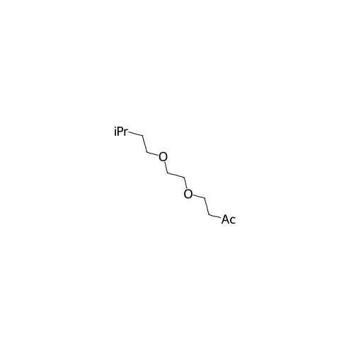 CC(=O)CCOCCOCCC(C)C